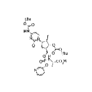 CC(NP(=O)(OC[C@H]1S[C@@H](n2ccc(NC(=O)OC(C)(C)C)nc2=O)[C@@H](F)[C@@H]1OC(=O)OC(C)(C)C)Oc1cccnc1)C(=O)O